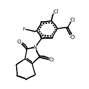 O=C(Cl)c1cc(N2C(=O)C3=C(CCCC3)C2=O)c(F)cc1Cl